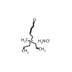 C=CC[N+](C)(CC=C)CC=C=C=O.N.[Cl-]